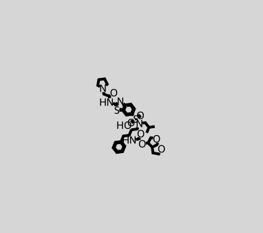 CC(C)CN(CC(O)C(Cc1ccccc1)NC(=O)OC1COC2OCCC12)S(=O)(=O)c1ccc2nc(NC(=O)CN3CCCC3)sc2c1